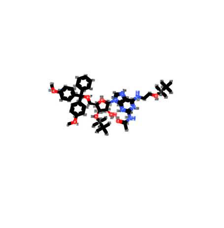 COc1ccc(C(OC[C@H]2O[C@@H](n3cnc4c(NCCO[Si](C)(C)C(C)(C)C)nc(NC(C)=O)nc43)[C@H](O)[C@@H]2O[Si](C)(C)C(C)(C)C)(c2ccccc2)c2ccc(OC)cc2)cc1